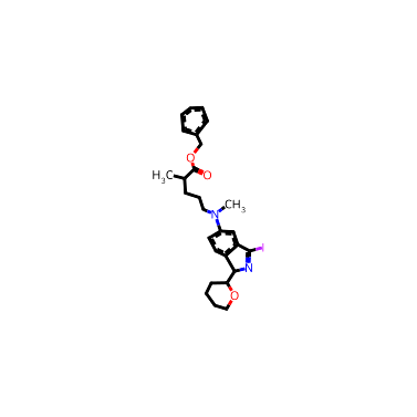 CC(CCCN(C)c1ccc2c(c1)C(I)=NC2C1CCCCO1)C(=O)OCc1ccccc1